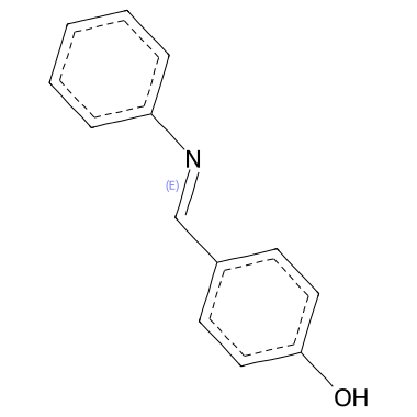 Oc1ccc(/C=N/c2ccccc2)cc1